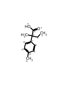 CCC(C)(C(=O)O)c1ccc(C)cc1